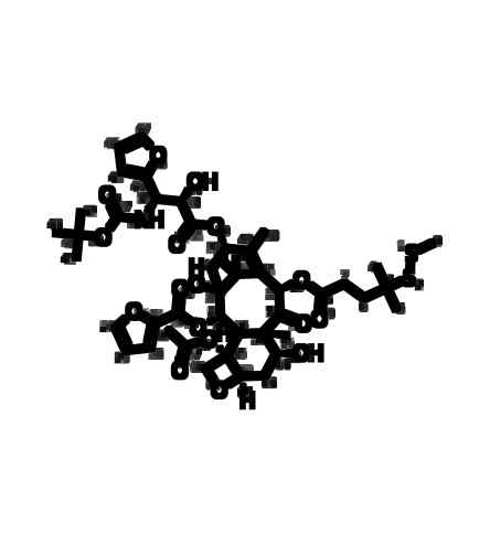 CSSC(C)(C)CCC(=O)O[C@H]1C(=O)[C@@]2(C)[C@H]([C@H](OC(=O)c3ccco3)[C@]3(O)C[C@H](OC(=O)[C@H](O)[C@@H](NC(=O)OC(C)(C)C)c4ccco4)C(C)=C1C3(C)C)[C@]1(OC(C)=O)CO[C@@H]1C[C@@H]2O